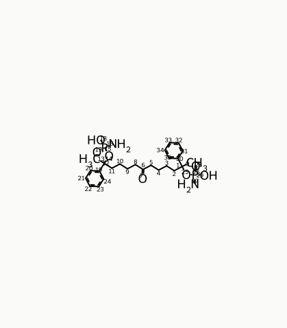 CC(CCCCC(=O)CCCCC(C)(OP(N)(=O)O)c1ccccc1)(OP(N)(=O)O)c1ccccc1